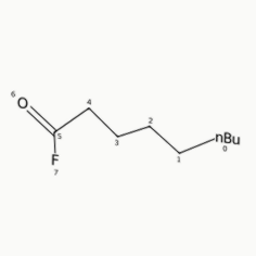 CCCCCCCCC(=O)F